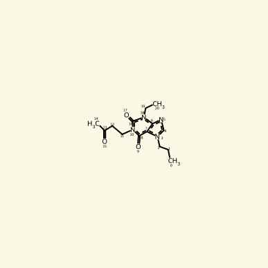 CCCn1cnc2c1c(=O)n(CCC(C)=O)c(=O)n2CC